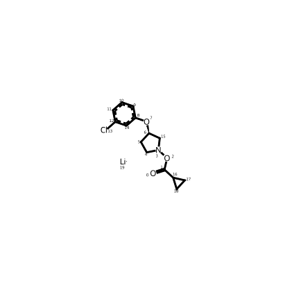 O=C(ON1CC[C@@H](Oc2cccc(Cl)c2)C1)C1CC1.[Li]